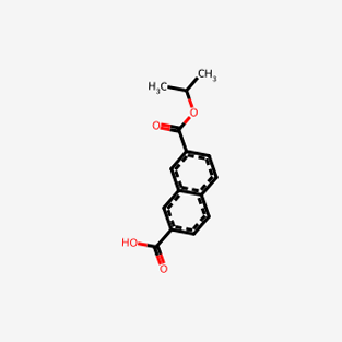 CC(C)OC(=O)c1ccc2ccc(C(=O)O)cc2c1